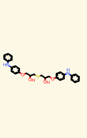 OC(COc1ccc(Nc2ccccc2)cc1)CSCC(O)COc1ccc(Nc2ccccc2)cc1